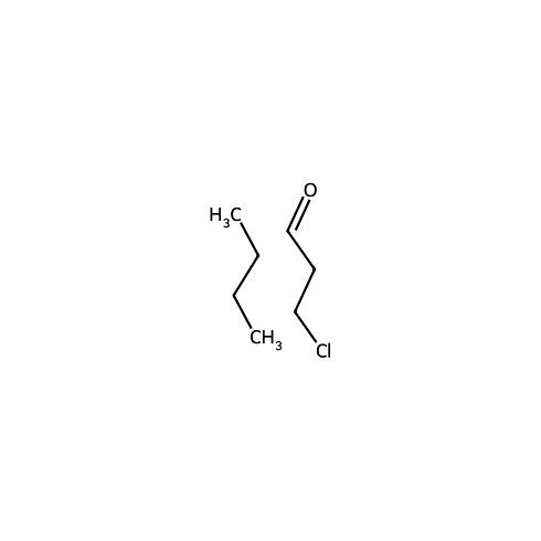 CCCC.O=CCCCl